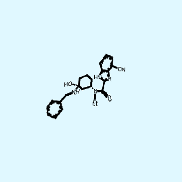 CCN(C(=O)c1nc2c(C#N)cccc2[nH]1)[C@H]1CCC[C@@](O)(NCc2ccccc2)C1